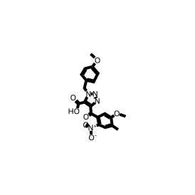 COc1ccc(Cn2nnc(C(=O)c3cc(OC)c(C)cc3[N+](=O)[O-])c2C(=O)O)cc1